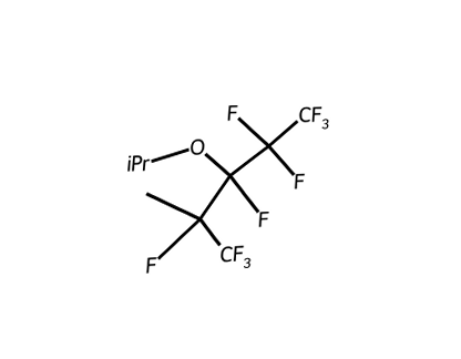 CC(C)OC(F)(C(C)(F)C(F)(F)F)C(F)(F)C(F)(F)F